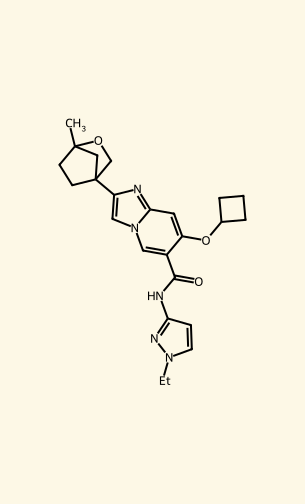 CCn1ccc(NC(=O)c2cn3cc(C45CCC(C)(C4)OC5)nc3cc2OC2CCC2)n1